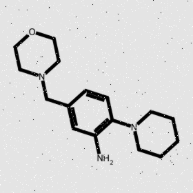 Nc1cc(CN2CCOCC2)ccc1N1CCCCC1